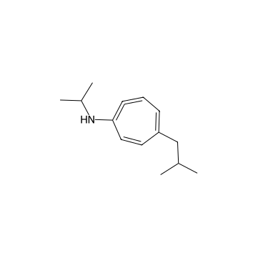 CC(C)CC1=CC=C=C(NC(C)C)C=C1